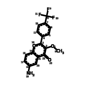 COc1c(-c2ccc(C(F)(F)F)cc2)oc2ccc(N)cc2c1=O